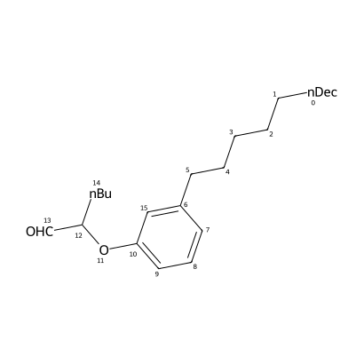 CCCCCCCCCCCCCCCc1cccc(OC(C=O)CCCC)c1